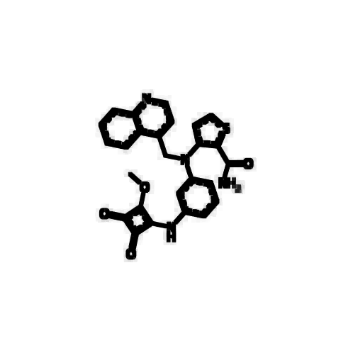 COc1c(Nc2cccc(N(Cc3ccnc4ccccc34)c3ccsc3C(N)=O)c2)c(=O)c1=O